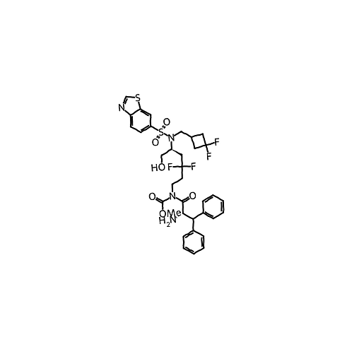 COC(=O)N(CCC(F)(F)C[C@@H](CO)N(CC1CC(F)(F)C1)S(=O)(=O)c1ccc2ncsc2c1)C(=O)[C@@H](N)C(c1ccccc1)c1ccccc1